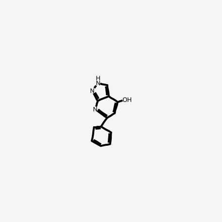 Oc1cc(-c2ccccc2)nc2n[nH]cc12